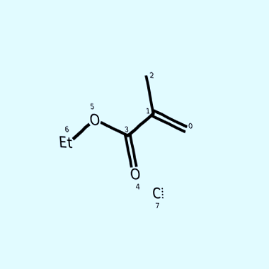 C=C(C)C(=O)OCC.[C]